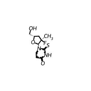 C[C@@]1(F)C[C@@H](CO)O[C@H]1n1ccc(=O)[nH]c1=S